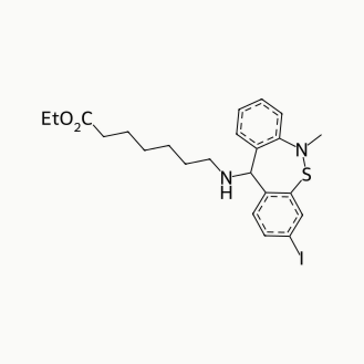 CCOC(=O)CCCCCCNC1c2ccc(I)cc2SN(C)c2ccccc21